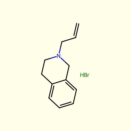 Br.C=CCN1CCc2ccccc2C1